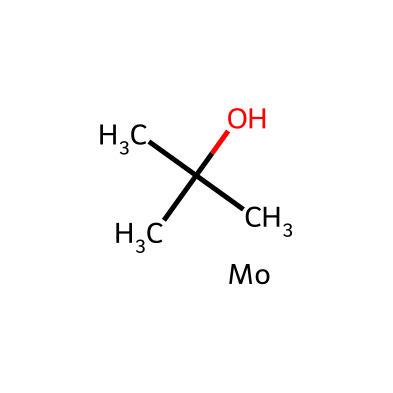 CC(C)(C)O.[Mo]